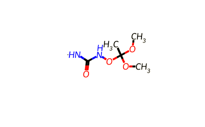 COC(C)(OC)ONC([NH])=O